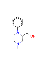 CN1CCN(c2cc[c]cc2)C(CO)C1